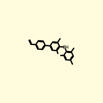 C=Cc1ccc(-c2cc(C)c(Bc3c(C)cc(C)cc3C)c(C)c2)cc1